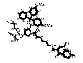 CCn1cc(C(=O)NCCCCCC(=O)N2C[C@H](OP(OCCC#N)N(C(C)C)C(C)C)C[C@H]2COC(c2ccccc2)(c2ccc(OC)cc2)c2ccc(OC)cc2)c(=O)c2ccc(C)nc21